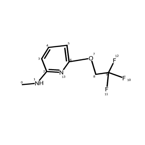 CNc1cccc(OCC(F)(F)F)n1